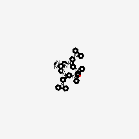 c1ccc2c(c1)c1ccccc1n2-c1ccc2c(c1)c1cc(-n3c4ccccc4c4ccccc43)ccc1n2-c1ccc2c3nccnc3c3ccc(-n4c5ccc(-n6c7ccccc7c7ccccc76)cc5c5cc(-n6c7ccccc7c7ccccc76)ccc54)nc3c2n1